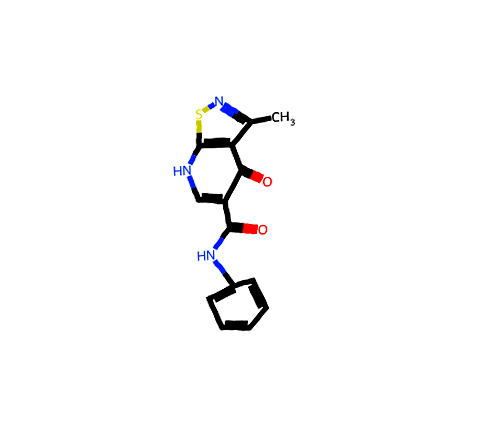 Cc1nsc2[nH]cc(C(=O)Nc3ccccc3)c(=O)c12